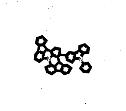 CC12c3ccccc3-c3cccc(c31)N1c3cccc4c3C(C)(c3ccccc3-4)c3c(-c4ccc5c(c4)c4ccccc4n5-c4ccccc4)ccc2c31